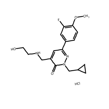 COc1ccc(-c2cc(CNCCO)c(=O)n(CC3CC3)n2)cc1F.Cl